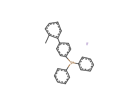 Cc1ccccc1-c1ccc([S+](c2ccccc2)c2ccccc2)cc1.[I-]